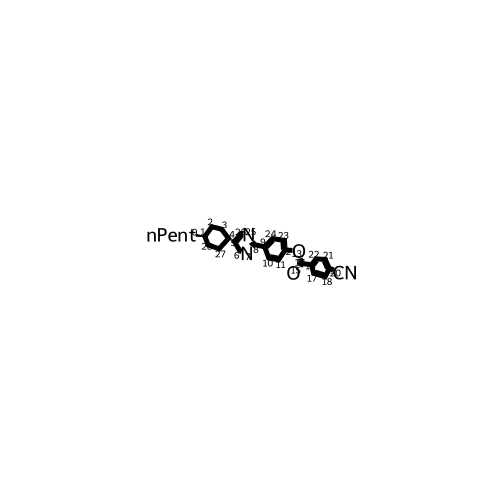 CCCCC[C@H]1CC[C@H](c2cnc(-c3ccc(OC(=O)c4ccc(C#N)cc4)cc3)nc2)CC1